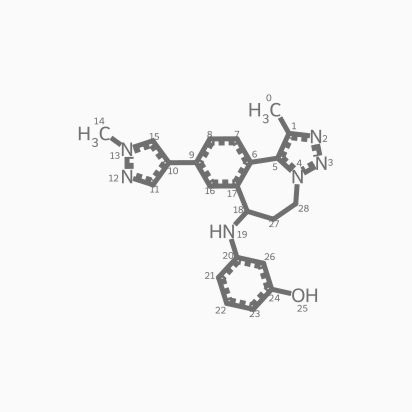 Cc1nnn2c1-c1ccc(-c3cnn(C)c3)cc1C(Nc1cccc(O)c1)CC2